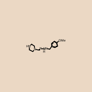 COc1ccc(CNNN=CN2CCNCC2)cc1